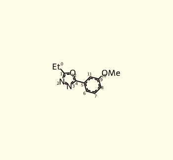 CCc1nnc(-c2cccc(OC)c2)o1